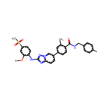 CCOc1cc(S(C)(=O)=O)ccc1Nc1nc2ccc(-c3ccc(C(=O)NCc4ccc(F)cc4)c(C)c3)cn2n1